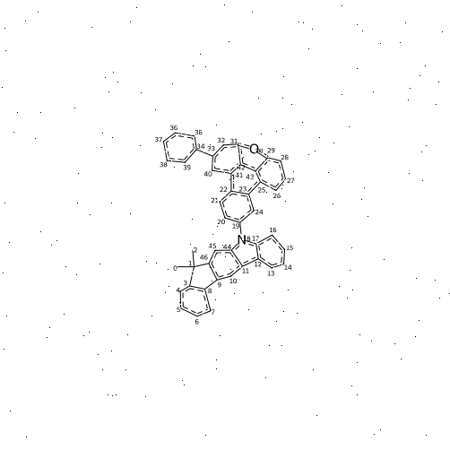 CC1(C)c2ccccc2-c2cc3c4ccccc4n(-c4ccc5c(c4)c4cccc6oc7cc(-c8ccccc8)cc5c7c64)c3cc21